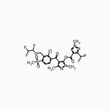 Cc1nn(C)c(OC(=O)c2cn(C)nc2C(F)F)c1C(=O)c1ccc(S(C)(=O)=O)c(COC(F)C(F)F)c1Cl